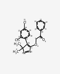 CC1(C)N=NC(OCC(=O)c2ccccc2)=C1c1ccc(Cl)cc1Cl